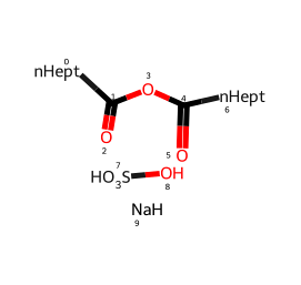 CCCCCCCC(=O)OC(=O)CCCCCCC.O=S(=O)(O)O.[NaH]